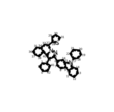 c1ccc(-c2c(-c3ccc4c5ccccc5n(-c5ccccc5)c4c3)nn3c(-c4cccs4)cc4ccccc4c23)cc1